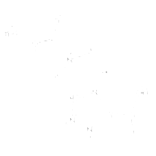 CC(O)c1nnc2n1CCN(C(=O)OC(C)(C)C)C2